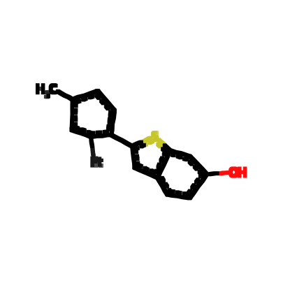 CCc1cc(C)ccc1-c1cc2ccc(O)cc2s1